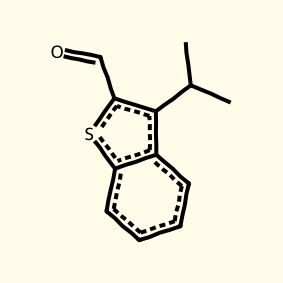 CC(C)c1c(C=O)sc2ccccc12